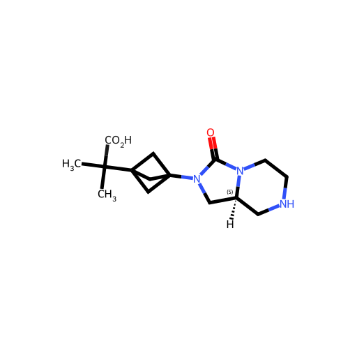 CC(C)(C(=O)O)C12CC(N3C[C@@H]4CNCCN4C3=O)(C1)C2